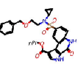 CCCOC(=O)c1c[nH]c2c(=O)[nH]c3ccc(S(=O)(=O)N(CCOCc4ccccc4)C4CC4)cc3c12